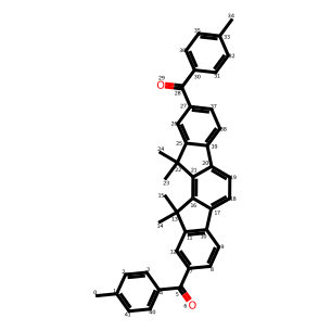 Cc1ccc(C(=O)c2ccc3c(c2)C(C)(C)c2c-3ccc3c2C(C)(C)c2cc(C(=O)c4ccc(C)cc4)ccc2-3)cc1